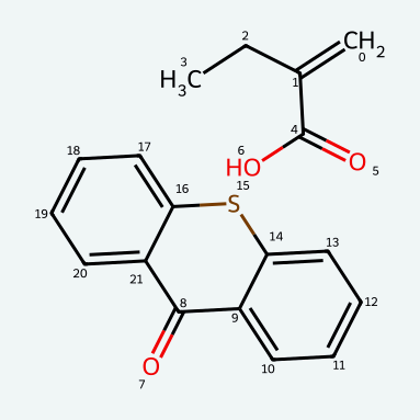 C=C(CC)C(=O)O.O=c1c2ccccc2sc2ccccc12